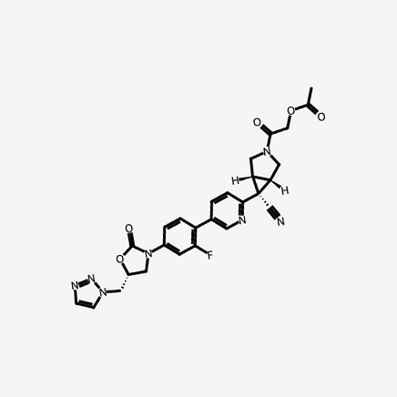 CC(=O)OCC(=O)N1C[C@@H]2[C@H](C1)[C@@]2(C#N)c1ccc(-c2ccc(N3C[C@H](Cn4ccnn4)OC3=O)cc2F)cn1